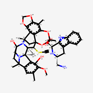 C#CS[C@H]1[C@H]2[C@H]3c4c(cc(C)c(OC)c4O)C4(C)CC(O)(CN34)N2[C@H]2CC1(OC(O)[C@@H]1N[C@@H](CN)Cc3c1[nH]c1ccccc31)c1c(OC(C)=O)c(C)c3c(c12)OCO3